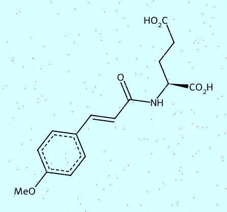 COc1ccc(/C=C/C(=O)N[C@@H](CCC(=O)O)C(=O)O)cc1